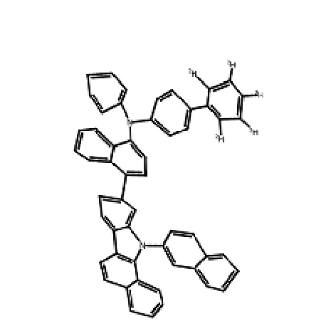 [2H]c1c([2H])c([2H])c(-c2ccc(N(c3ccccc3)c3ccc(-c4ccc5c6ccc7ccccc7c6n(-c6ccc7ccccc7c6)c5c4)c4ccccc34)cc2)c([2H])c1[2H]